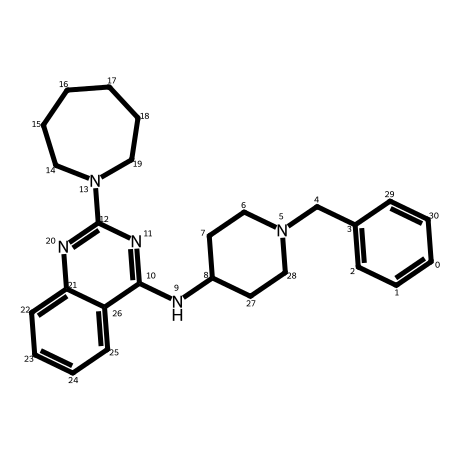 c1ccc(CN2CCC(Nc3nc(N4CCCCCC4)nc4ccccc34)CC2)cc1